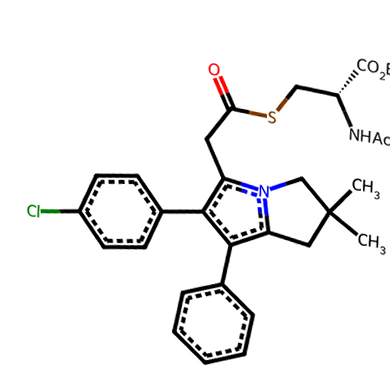 CCOC(=O)[C@@H](CSC(=O)Cc1c(-c2ccc(Cl)cc2)c(-c2ccccc2)c2n1CC(C)(C)C2)NC(C)=O